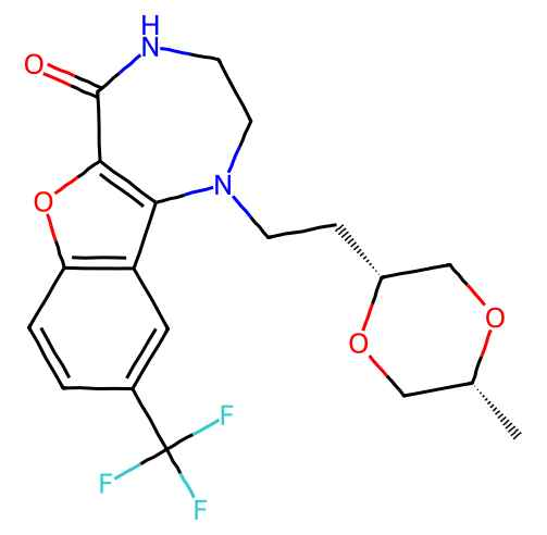 C[C@@H]1CO[C@H](CCN2CCNC(=O)c3oc4ccc(C(F)(F)F)cc4c32)CO1